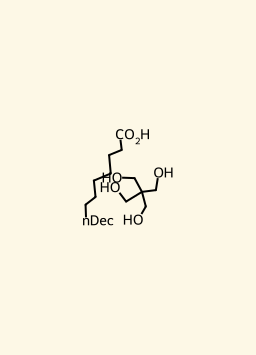 CCCCCCCCCCCCCCCCC(=O)O.OCC(CO)(CO)CO